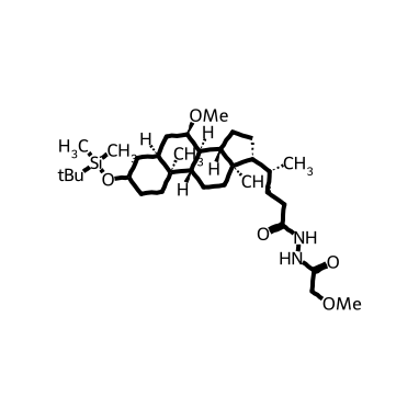 COCC(=O)NNC(=O)CC[C@@H](C)[C@H]1CC[C@H]2[C@@H]3[C@H](OC)C[C@@H]4CC(O[Si](C)(C)C(C)(C)C)CC[C@]4(C)[C@H]3CC[C@]12C